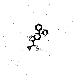 ON=C(c1n[nH]c2c1C=CC(c1ccccc1)(c1cccs1)C2)C1CC1